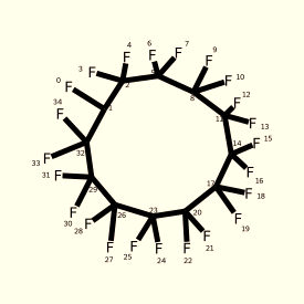 F[C]1C(F)(F)C(F)(F)C(F)(F)C(F)(F)C(F)(F)C(F)(F)C(F)(F)C(F)(F)C(F)(F)C(F)(F)C1(F)F